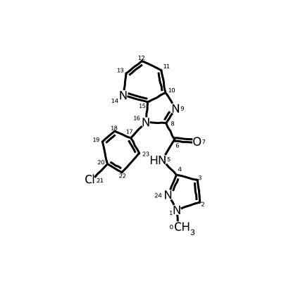 Cn1ccc(NC(=O)c2nc3cccnc3n2-c2ccc(Cl)cc2)n1